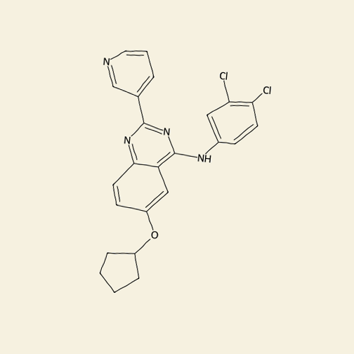 Clc1ccc(Nc2nc(-c3cccnc3)nc3ccc(OC4CCCC4)cc23)cc1Cl